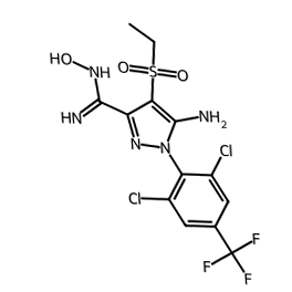 CCS(=O)(=O)c1c(C(=N)NO)nn(-c2c(Cl)cc(C(F)(F)F)cc2Cl)c1N